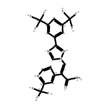 NC(=O)/C(=C/n1cnc(-c2cc(C(F)(F)F)cc(C(F)(F)F)c2)n1)c1ccnc(C(F)(F)F)c1